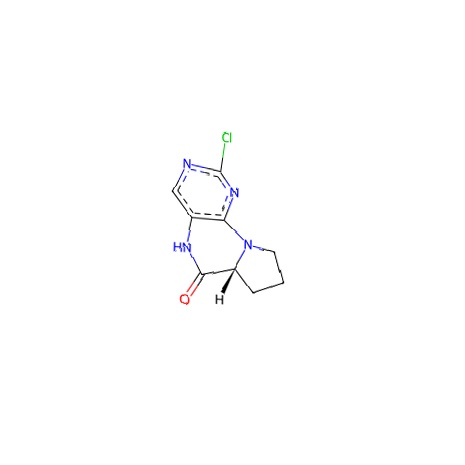 O=C1Nc2cnc(Cl)nc2N2CCC[C@H]12